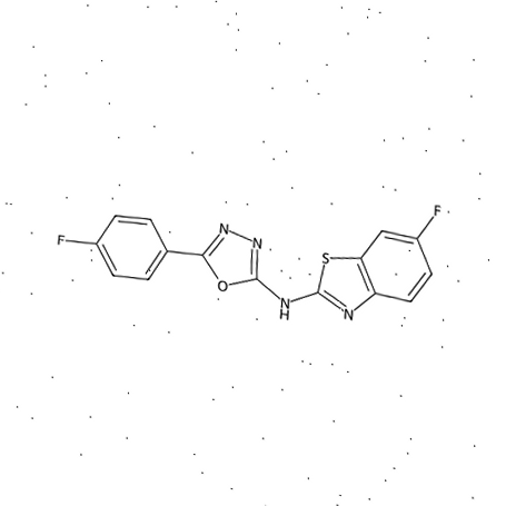 Fc1ccc(-c2nnc(Nc3nc4ccc(F)cc4s3)o2)cc1